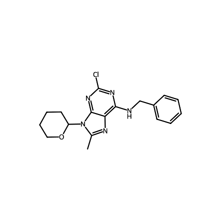 Cc1nc2c(NCc3ccccc3)nc(Cl)nc2n1C1CCCCO1